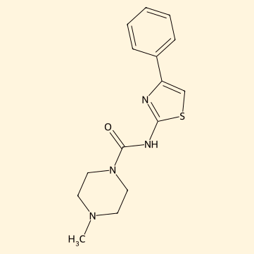 CN1CCN(C(=O)Nc2nc(-c3ccccc3)cs2)CC1